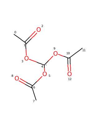 CC(=O)O[C](OC(C)=O)OC(C)=O